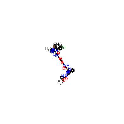 Cc1sc2c(c1C)C(c1ccc(Cl)cc1)=N[C@@H](CC(=O)NCCOCCOCCNC(=O)CSc1nc3ccccc3c3cc(CNC(=O)c4ccccc4OC(F)(F)F)nn13)c1nnc(C)n1-2